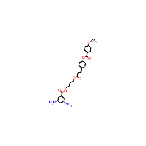 Nc1cc(N)cc(C(=O)OCCCCOC(=O)/C=C/c2ccc(OC(=O)c3ccc(OC(F)(F)F)cc3)cc2)c1